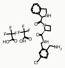 NCc1ccc(Cl)cc1CNC(=O)[C@@H]1CCN1C(=O)C1NCc2ccccc21.O=C(O)C(F)(F)F.O=C(O)C(F)(F)F